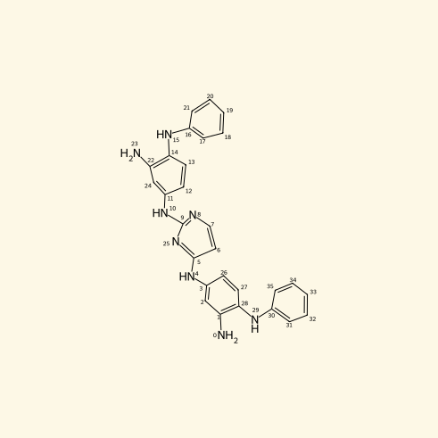 Nc1cc(Nc2ccnc(Nc3ccc(Nc4ccccc4)c(N)c3)n2)ccc1Nc1ccccc1